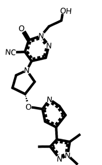 Cc1nn(C)c(C)c1-c1ccnc(O[C@@H]2CCN(c3cnn(CCO)c(=O)c3C#N)C2)c1